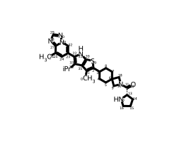 Cc1c(C2CCC3(CC2)CN(C(=O)[C@@H]2CCCN2)C3)sc2[nH]c(-c3cc(C)c4ncnn4c3)c(C(C)C)c12